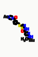 CC(=O)N1CCN(C(=O)c2cccc(CSc3cnc(NC(=O)c4ccc(NC(C)C(C)(C)C)nc4)s3)c2)CC1